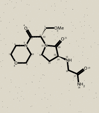 COC[C@@H](C(=O)N1CCOCC1)N1CC[C@H](NCC(N)=O)C1=O